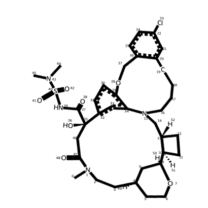 CN1CC[C@@H]2CCO[C@@H](C2)[C@@H]2CC[C@H]2CN2CCCCc3cc(Cl)ccc3COc3ccc(cc32)[C@@](O)(C(=O)NS(=O)(=O)N(C)C)CC1=O